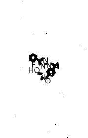 CN(CCO)C(=O)c1ccc2c(c1)N(c1ncc(-c3ccccc3F)cn1)CC21CC1